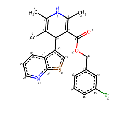 CC(=O)C1=C(C)NC(C)=C(C(=O)OCc2cccc(Br)c2)C1c1csc2ncccc12